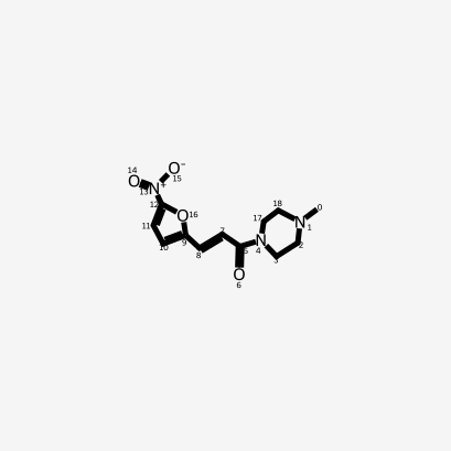 CN1CCN(C(=O)/C=C/c2ccc([N+](=O)[O-])o2)CC1